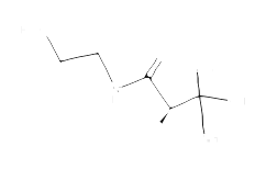 CCCC(C)(C)[C@@H](O)C(=O)NCCC(=O)O